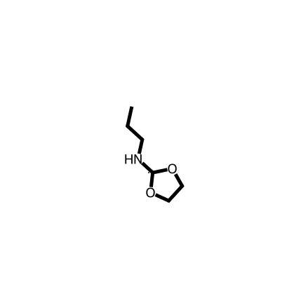 CCCN[C]1OCCO1